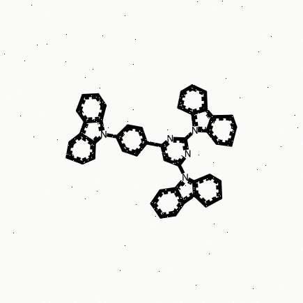 c1ccc2c(c1)c1ccccc1n2-c1ccc(-c2cc(-n3c4ccccc4c4ccccc43)nc(-n3c4ccccc4c4ccccc43)n2)cc1